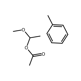 COC(C)OC(C)=O.Cc1ccccc1